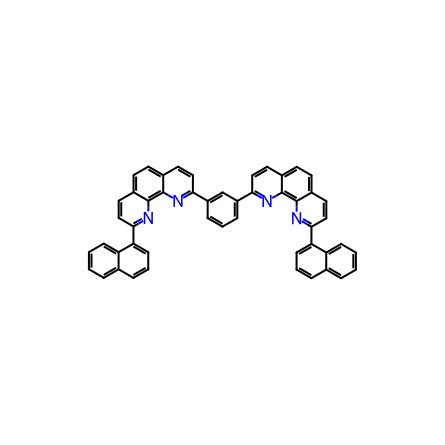 c1cc(-c2ccc3ccc4ccc(-c5cccc6ccccc56)nc4c3n2)cc(-c2ccc3ccc4ccc(-c5cccc6ccccc56)nc4c3n2)c1